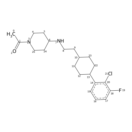 CC(=O)N1CCC(NCCC2CCC(c3cccc(F)c3Cl)CC2)CC1